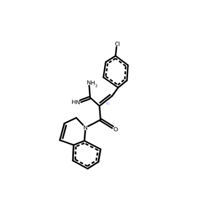 N=C(N)/C(=C\c1ccc(Cl)cc1)C(=O)N1CC=Cc2ccccc21